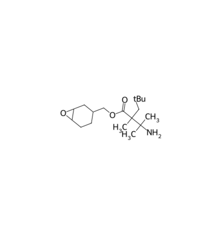 CC(C)(C)CC(C)(C(=O)OCC1CCC2OC2C1)C(C)(C)N